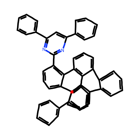 c1ccc(-c2cc(-c3ccccc3)nc(-c3cccc(-c4ccccc4-c4ccccc4)c3-c3cccc4c5ccccc5c5ccccc5c34)n2)cc1